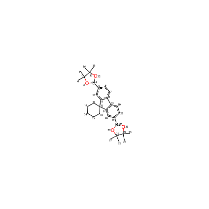 CC1(C)OB(c2ccc3c(c2)C2(CCCCC2)c2cc(B4OC(C)(C)C(C)(C)O4)ccc2-3)OC1(C)C